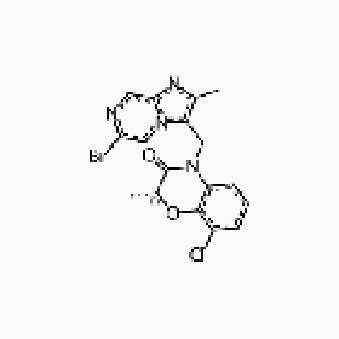 Cc1nc2cnc(Br)cn2c1CN1C(=O)[C@@H](C)Oc2c(Cl)cccc21